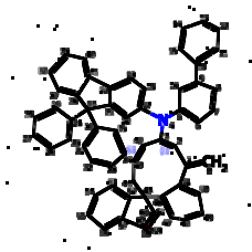 C=C1/C=C(N(c2cccc(-c3ccccc3)c2)c2ccc3c(c2)C(c2ccccc2)(c2ccccc2)c2ccccc2-3)\C=C/CC2(c3ccccc31)c1ccccc1-c1ccccc12